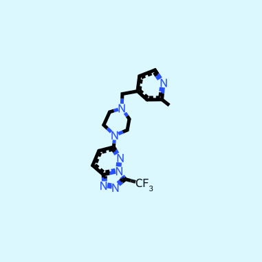 Cc1cc(CN2CCN(c3ccc4nnc(C(F)(F)F)n4n3)CC2)ccn1